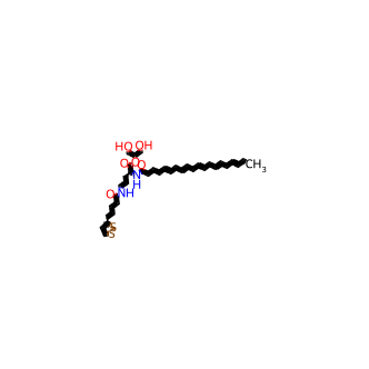 CCC=CCC=CCC=CCC=CCC=CCCCC(=O)N[C@@H](CCCNC(=O)CCCC[C@@H]1CCSS1)C(=O)OC(CO)CO